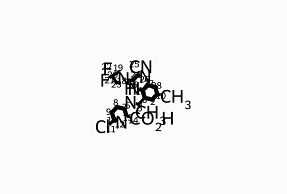 Cc1cc([C@@H](C)Nc2ccc(Cl)nc2C(=O)O)c2nc(N3CC(F)(F)C3)c(C#N)nc2c1